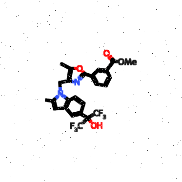 COC(=O)c1cccc(-c2nc(Cn3c(C)cc4cc(C(O)(C(F)(F)F)C(F)(F)F)ccc43)c(C)o2)c1